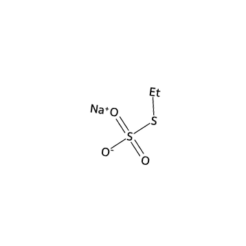 CCSS(=O)(=O)[O-].[Na+]